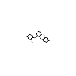 Cc1ccc(Cc2ccccc2Cc2ccc(C)cc2N)c(N)c1